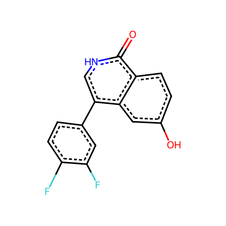 O=c1[nH]cc(-c2ccc(F)c(F)c2)c2cc(O)ccc12